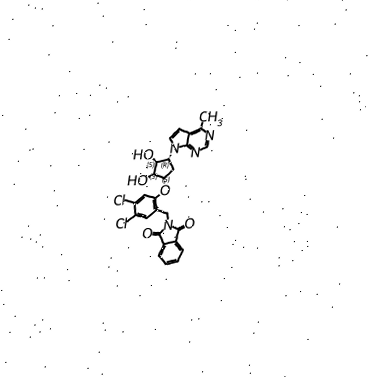 Cc1ncnc2c1ccn2[C@@H]1C[C@H](Oc2cc(Cl)c(Cl)cc2CN2C(=O)c3ccccc3C2=O)[C@@H](O)[C@H]1O